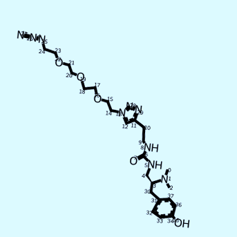 CN(C)[C@H](CNC(=O)NCCc1cn(CCOCCOCCOCCN=[N+]=[N-])nn1)Cc1ccc(O)cc1